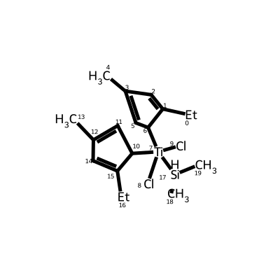 CCC1=CC(C)=C[CH]1[Ti]([Cl])([Cl])([CH]1C=C(C)C=C1CC)[SiH](C)C